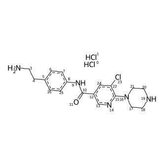 Cl.Cl.NCCc1ccc(NC(=O)c2cnc(N3CCNCC3)c(Cl)c2)cc1